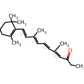 CCC(=O)/C=C(C)/C=C/C=C(C)/C=C/C1=C(C)CCCC1(C)C